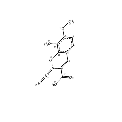 COc1ccc(/C=C(\N=[N+]=[N-])C(=O)O)c(Cl)c1C